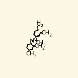 C=C/C=C\C(=C/C=C)N(C)/N=C1/CCC(C)CC1=C